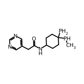 CPC1(P)CCC(NC(=O)Cc2cncnc2)CC1